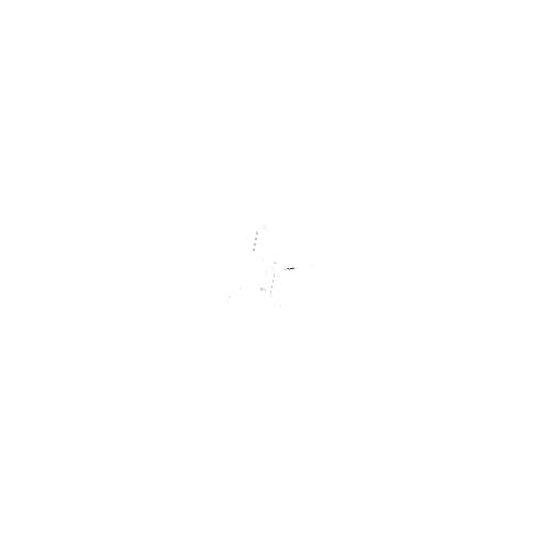 CC(=O)O[C@@H](C=O)[C@@H](CO)OC(C)=O